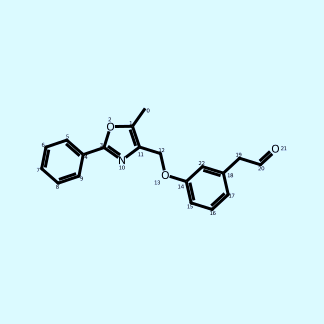 Cc1oc(-c2ccccc2)nc1COc1cccc(CC=O)c1